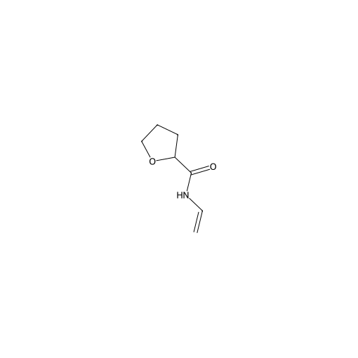 C=CNC(=O)C1CCCO1